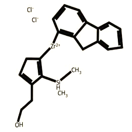 C[SiH](C)C1=[C]([Zr+2][c]2cccc3c2Cc2ccccc2-3)CC=C1CCO.[Cl-].[Cl-]